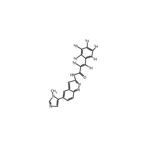 [2H]/C(C(=O)Nc1cc2cc(-c3cncn3C)ccc2nn1)=C(/[2H])c1c([2H])c([2H])c([2H])c([2H])c1[2H]